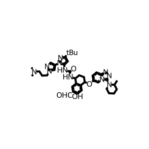 CC1CCCCN1c1nnc2ccc(OC3CCC(NC(=O)Nc4cc(C(C)(C)C)nn4-c4cnn(CCCN(C)C)c4)c4ccccc43)cn12.O=CO